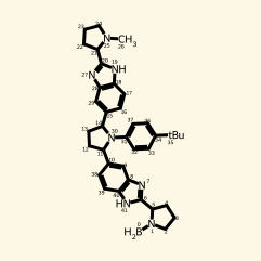 BN1CCCC1c1nc2cc(C3CCC(c4ccc5[nH]c(C6CCCN6C)nc5c4)N3c3ccc(C(C)(C)C)cc3)ccc2[nH]1